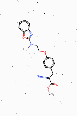 COC(=O)C(Cc1ccc(OCCN(C)c2nc3ccccc3o2)cc1)=[N+]=[N-]